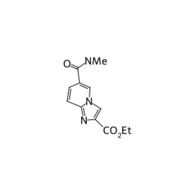 CCOC(=O)c1cn2cc(C(=O)NC)ccc2n1